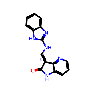 O=C1Nc2cccnc2/C1=C\Nc1nc2ccccc2[nH]1